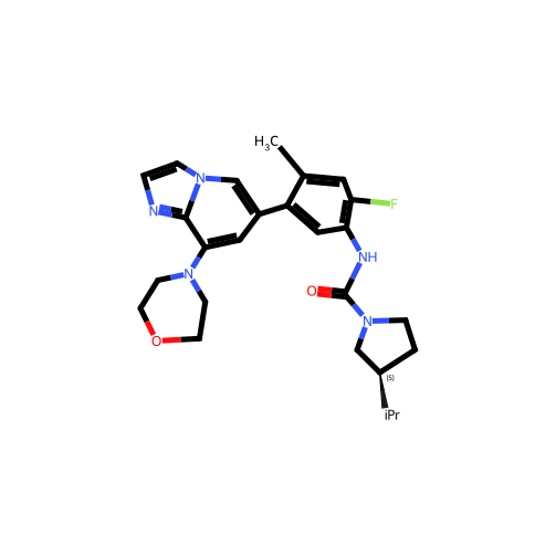 Cc1cc(F)c(NC(=O)N2CC[C@@H](C(C)C)C2)cc1-c1cc(N2CCOCC2)c2nccn2c1